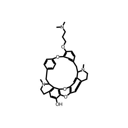 CN(C)CCCOc1ccc2cc1Oc1ccc(cc1)CC1c3c(cc(O)c4c3Oc3cc5c(cc3O4)CCN(C)C5C2)CCN1C